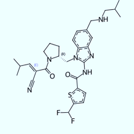 CC(C)/C=C(\C#N)C(=O)N1CCC[C@@H]1Cn1c(NC(=O)c2ccc(C(F)F)s2)nc2cc(CNCC(C)C)ccc21